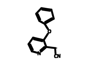 N#C[CH]c1ncccc1Oc1ccccc1